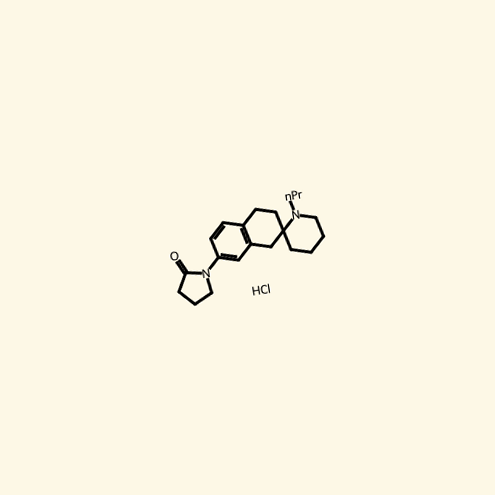 CCCN1CCCCC12CCc1ccc(N3CCCC3=O)cc1C2.Cl